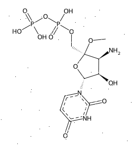 CO[C@]1(COP(=O)(O)OP(=O)(O)O)O[C@@H](n2ccc(=O)[nH]c2=O)[C@H](O)[C@@H]1N